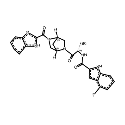 CC(C)(C)[C@H](NC(=O)c1cc2c(F)cccc2[nH]1)C(=O)N1C[C@@H]2C[C@H]1CN2C(=O)c1nc2ccccc2[nH]1